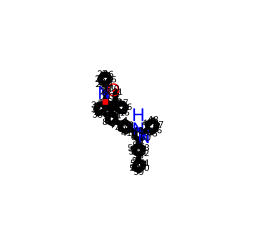 C1=C(c2ccc(-c3ccc4c(c3)C(c3ccccc3)(C3/C=C/N=C(/c5ccccc5)O/C=C/C3)c3ccccc3-4)cc2)NC(c2ccccc2)N=C1c1ccc(-c2ccccc2)cc1